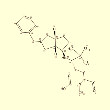 CN(C(=O)O)C(C=O)CC[C@H](N[C@@H]1CC[C@H]2CN(Cc3ccccc3)C[C@H]21)C(C)(C)C